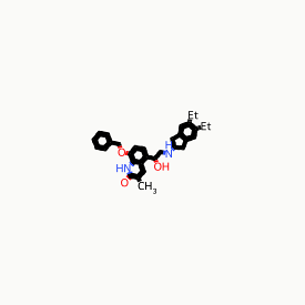 CCc1cc2c(cc1CC)CC(NCC(O)c1ccc(OCc3ccccc3)c3[nH]c(=O)c(C)cc13)C2